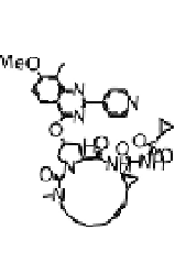 COc1ccc2c(O[C@@H]3C[C@H]4C(=O)N[C@]5(C(=O)NS(=O)(=O)C6CC6)CC5/C=C\CCCCN(C)C(=O)N4C3)nc(-c3ccncc3)nc2c1C